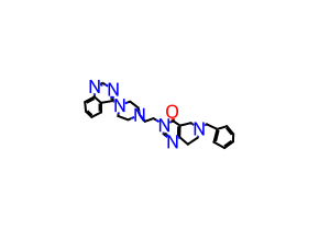 O=c1c2c(ncn1CCN1CCN(c3ncnc4ccccc34)CC1)CCN(Cc1ccccc1)C2